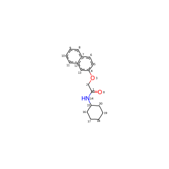 O=C(COc1ccc2ccccc2c1)NC1CCCCC1